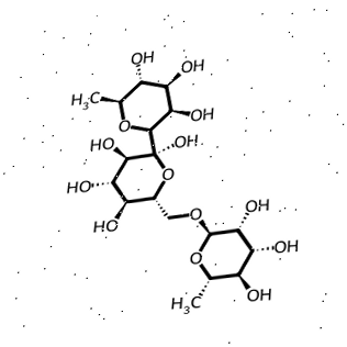 C[C@@H]1O[C@@H](OC[C@H]2O[C@](O)(C3O[C@@H](C)[C@H](O)[C@@H](O)[C@H]3O)[C@H](O)[C@@H](O)[C@@H]2O)[C@H](O)[C@H](O)[C@H]1O